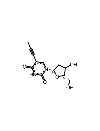 CC#Cc1cn([C@@H]2CC(O)[C@H](CO)O2)c(=O)[nH]c1=O